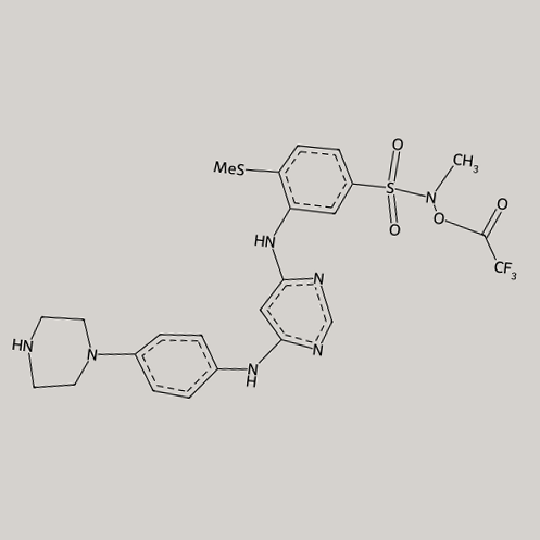 CSc1ccc(S(=O)(=O)N(C)OC(=O)C(F)(F)F)cc1Nc1cc(Nc2ccc(N3CCNCC3)cc2)ncn1